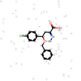 [H]/N=C(\CC(OCc1ccccc1)c1ccc(Cl)cc1)C(=O)O